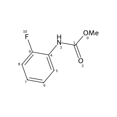 [CH2]OC(=O)Nc1ccccc1F